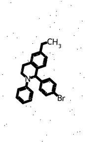 CCc1ccc2c(c1)CCN(c1ccccc1)C2c1ccc(Br)cc1